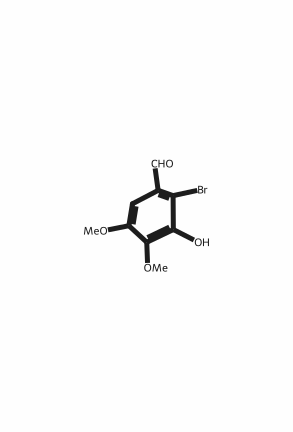 COc1cc(C=O)c(Br)c(O)c1OC